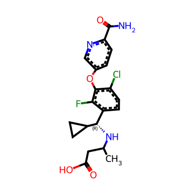 CC(CC(=O)O)N[C@@H](c1ccc(Cl)c(Oc2ccc(C(N)=O)nc2)c1F)C1CC1